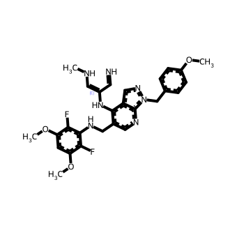 CN/C=C(\C=N)Nc1c(CNc2c(F)c(OC)cc(OC)c2F)cnc2c1cnn2Cc1ccc(OC)cc1